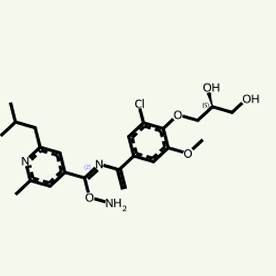 C=C(/N=C(\ON)c1cc(C)nc(CC(C)C)c1)c1cc(Cl)c(OC[C@@H](O)CO)c(OC)c1